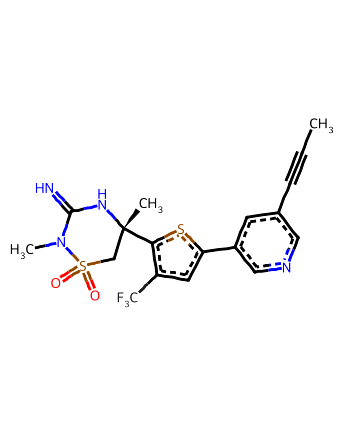 CC#Cc1cncc(-c2cc(C(F)(F)F)c([C@]3(C)CS(=O)(=O)N(C)C(=N)N3)s2)c1